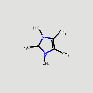 CC1=C(C)N(C)C(C(F)(F)F)N1C